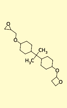 CC(C)(C1CCC(OCC2CO2)CC1)C1CCC(OC2CCO2)CC1